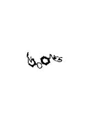 CCN1CCC(Oc2ccc(N=C=S)cc2)C1